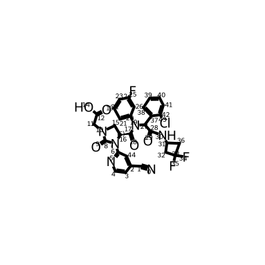 N#Cc1ccnc(N2C(=O)N(CC(=O)O)C[C@H]2C(=O)N(c2cccc(F)c2)C(C(=O)NC2CC(F)(F)C2)c2ccccc2Cl)c1